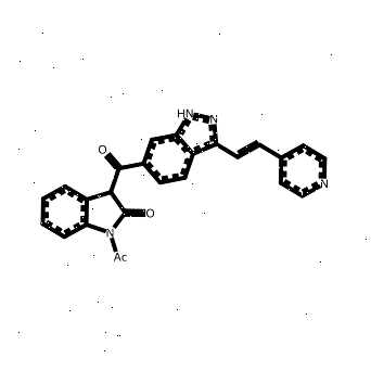 CC(=O)N1C(=O)C(C(=O)c2ccc3c(/C=C/c4ccncc4)n[nH]c3c2)c2ccccc21